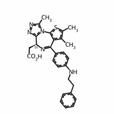 Cc1sc2c(c1C)C(c1ccc(NCCc3ccccc3)cc1)=N[C@@H](CC(=O)O)c1nnc(C)n1-2